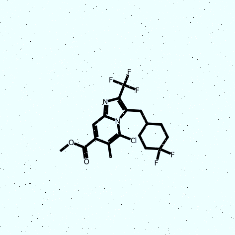 COC(=O)c1cc2nc(C(F)(F)F)c(CC3CCC(F)(F)CC3)n2c(Cl)c1C